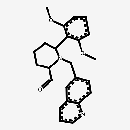 COc1cccc(OC)c1C1CCCC(C=O)N1Cc1ccc2ncccc2c1